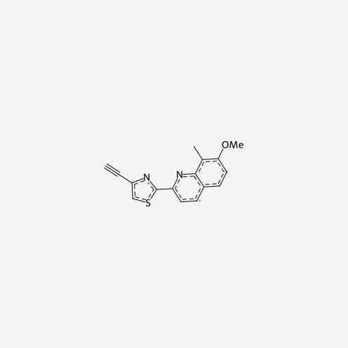 C#Cc1csc(-c2c[c]c3ccc(OC)c(C)c3n2)n1